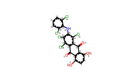 O=C1c2c(O)ccc(O)c2C(=O)c2c(Cl)c(Nc3c(Cl)cccc3Cl)c(Cl)c(Cl)c21